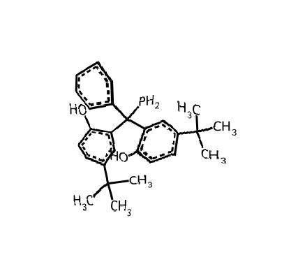 CC(C)(C)c1ccc(O)c(C(P)(c2ccccc2)c2cc(C(C)(C)C)ccc2O)c1